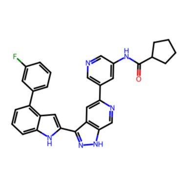 O=C(Nc1cncc(-c2cc3c(-c4cc5c(-c6cccc(F)c6)cccc5[nH]4)n[nH]c3cn2)c1)C1CCCC1